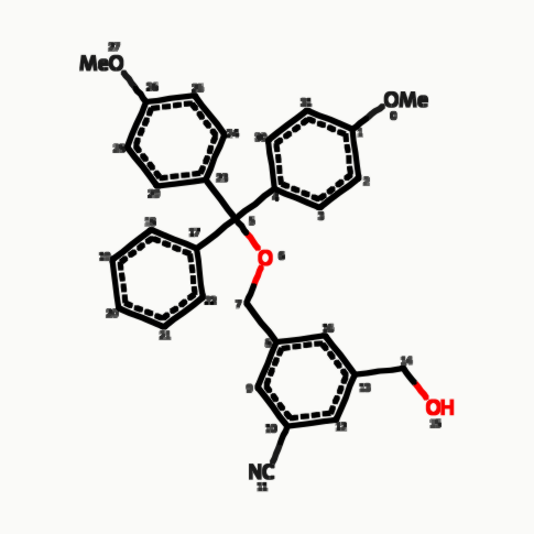 COc1ccc(C(OCc2cc(C#N)cc(CO)c2)(c2ccccc2)c2ccc(OC)cc2)cc1